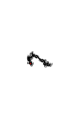 O=C1CCN(c2cc(C(=O)N3CCC(OCCCN4CCC(n5cc(NC(=O)c6cnn7ccc(N8C[C@H]9C[C@@H]8CC9=O)nc67)c(C(F)F)n5)CC4)CC3)ccc2Cl)C(=O)N1